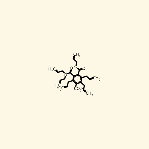 C=CCOC(=O)c1c(CC=C)c(CC=C)c(C(=O)O)c(CC=C)c1C(=O)N(CC=C)CC=C